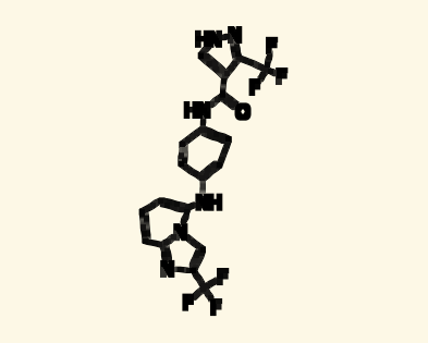 O=C(Nc1ccc(Nc2cccc3nc(C(F)(F)F)cn23)cc1)c1c[nH]nc1C(F)(F)F